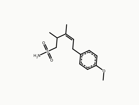 COc1ccc(CC=C(C)C(C)CS(N)(=O)=O)cc1